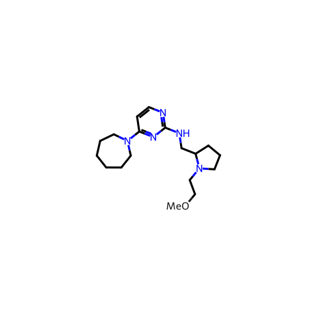 COCCN1CCCC1CNc1nccc(N2CCCCCC2)n1